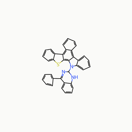 c1ccc(C2=NC(n3c4ccccc4c4c5ccccc5c5c6ccccc6sc5c43)Nc3ccccc32)cc1